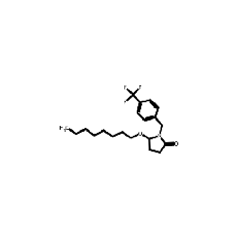 CCCCCCCCOC1CCC(=O)N1Cc1ccc(C(F)(F)F)cc1